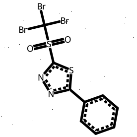 O=S(=O)(c1nnc(-c2ccccc2)s1)C(Br)(Br)Br